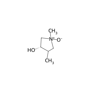 CC1C[N+](C)([O-])C[C@H]1O